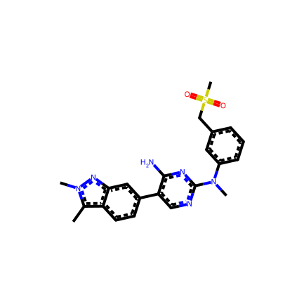 Cc1c2ccc(-c3cnc(N(C)c4cccc(CS(C)(=O)=O)c4)nc3N)cc2nn1C